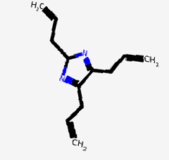 C=CC[C]1N=C(CC=C)C(CC=C)=N1